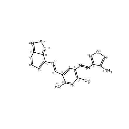 Nc1nonc1N=Nc1cc(C=Nc2cccc3nsnc23)c(O)cc1O